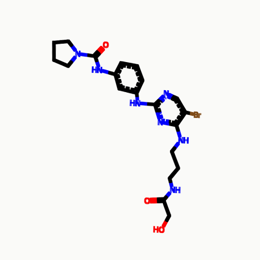 O=C(CO)NCCCNc1nc(Nc2cccc(NC(=O)N3CCCC3)c2)ncc1Br